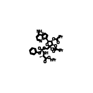 CCCOC(=O)[C@H](C)NP(=O)(OC[C@@]1(C#N)O[C@@H](c2ccc3c(N)ccnn23)[C@H](OC(=O)C(C)C)[C@@H]1OC(=O)C(C)C)Oc1ccccc1